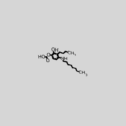 CCCCCCCCNc1ccc(OC(=O)O)c(O)c1CCCC